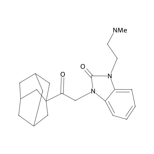 CNCCn1c(=O)n(CC(=O)C23CC4CC(CC(C4)C2)C3)c2ccccc21